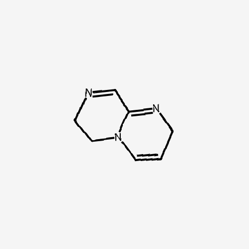 C1=CN2CCN=CC2=NC1